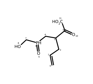 C=CCC(C[PH](=O)CO)C(=O)C(=O)O